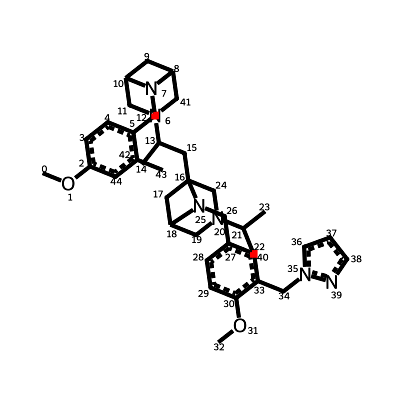 COc1ccc(CN2C3CC2CN(C(C)CC24CC(CN(C(C)C)C2)N4Cc2ccc(OC)c(Cn4cccn4)c2)C3)c(C)c1